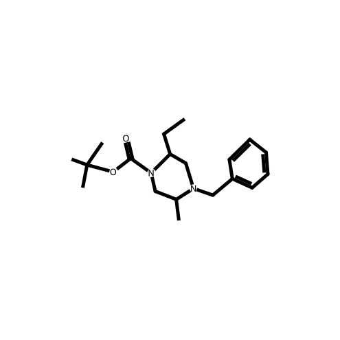 CCC1CN(Cc2ccccc2)C(C)CN1C(=O)OC(C)(C)C